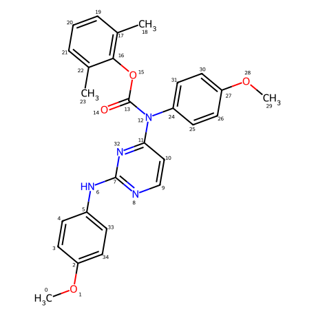 COc1ccc(Nc2nccc(N(C(=O)Oc3c(C)cccc3C)c3ccc(OC)cc3)n2)cc1